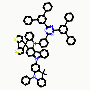 CC1(C)c2ccccc2N(c2ccccc2)c2ccc(-n3c4ccccc4c4c5c(ccc43)C3(c4ccccc4N5c4cccc(-c5nc(-c6cc(-c7ccccc7)cc(-c7ccccc7)c6)nc(-c6cc(-c7ccccc7)cc(-c7ccccc7)c6)n5)c4)c4ccsc4-c4sccc43)cc21